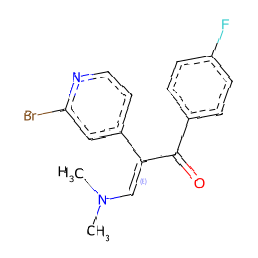 CN(C)/C=C(/C(=O)c1ccc(F)cc1)c1ccnc(Br)c1